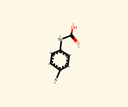 O=[C](O)[Sn][c]1cc[c]([K])cc1